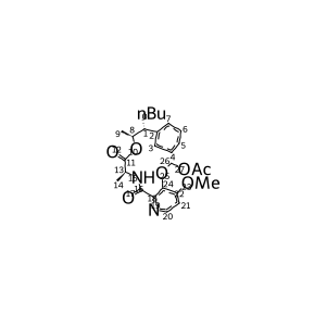 CCCC[C@H](c1ccccc1)[C@H](C)OC(=O)[C@H](C)NC(=O)c1nccc(OC)c1OCOC(C)=O